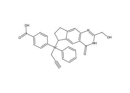 C#CC[N+](c1ccccc1)(c1ccc(C(=O)O)cc1)C1CCc2cc3nc(CO)[nH]c(=O)c3cc21